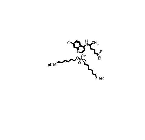 CCCCCCCCCCCCCCCCOP(=O)(O)OCCCCCCCCCCCCCCCC.CCN(CC)CCCC(C)Nc1ccnc2cc(Cl)ccc12